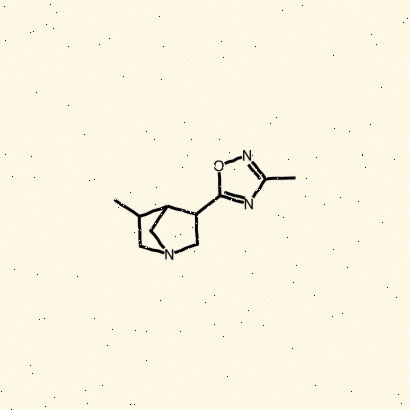 Cc1noc(C2CN3CC(C)C2C3)n1